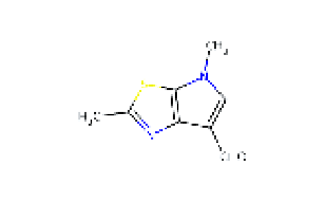 Cc1nc2c(C=O)cn(C)c2s1